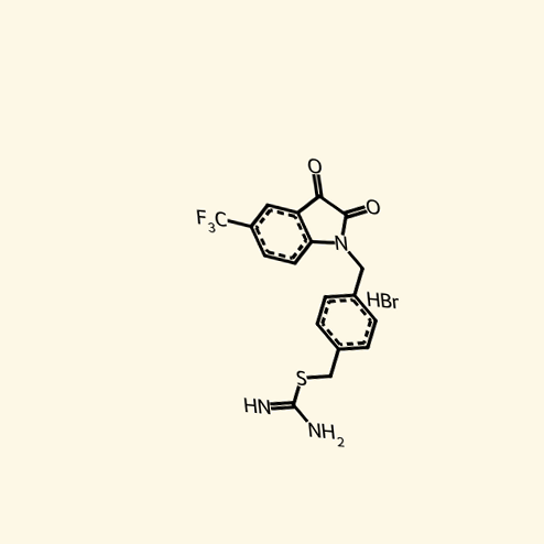 Br.N=C(N)SCc1ccc(CN2C(=O)C(=O)c3cc(C(F)(F)F)ccc32)cc1